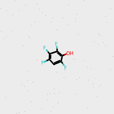 Oc1c(F)cc(F)c(F)c1F